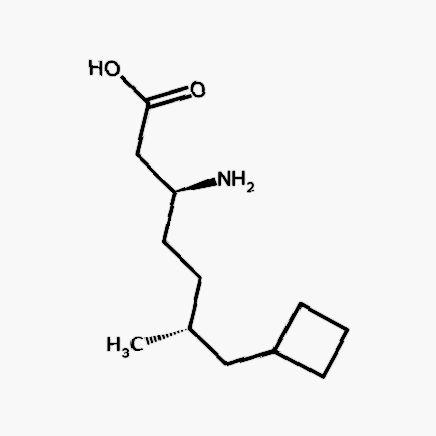 C[C@H](CC[C@H](N)CC(=O)O)CC1CCC1